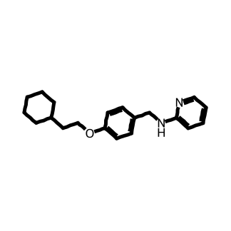 c1ccc(NCc2ccc(OCCC3CCCCC3)cc2)nc1